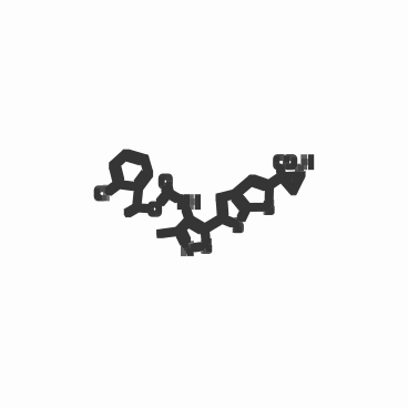 Cc1nsc(-c2cc3cc(C4(C(=O)O)CC4)sc3s2)c1NC(=O)OC(C)c1ccccc1Cl